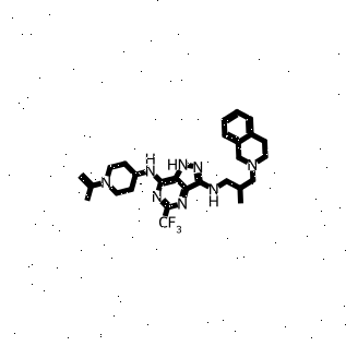 C=C(C)N1CCC(Nc2nc(C(F)(F)F)nc3c(NCC(C)CN4CCc5ccccc5C4)n[nH]c23)CC1